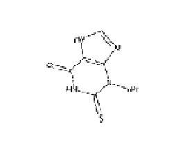 CCCn1c(=S)[nH]c(=O)c2[nH]cnc21